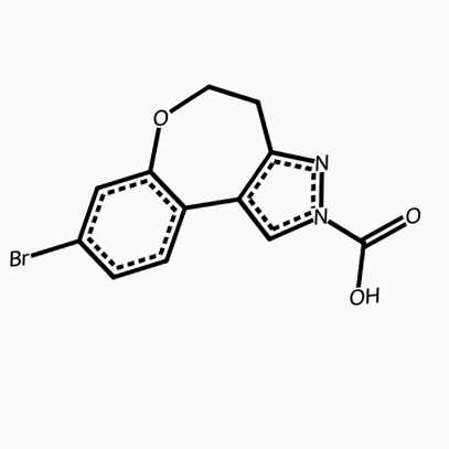 O=C(O)n1cc2c(n1)CCOc1cc(Br)ccc1-2